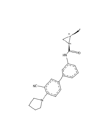 N#Cc1cc(-c2cccc(NC(=O)[C@H]3C[C@H]3F)c2)ccc1N1CCCC1